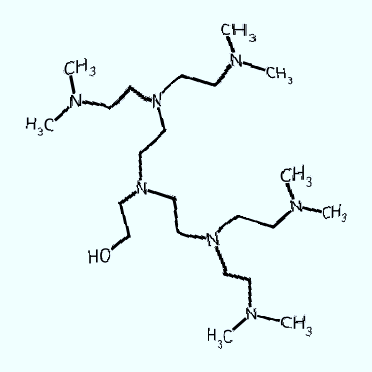 CN(C)CCN(CCN(C)C)CCN(CCO)CCN(CCN(C)C)CCN(C)C